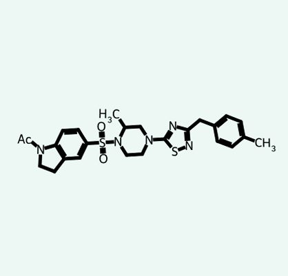 CC(=O)N1CCc2cc(S(=O)(=O)N3CCN(c4nc(Cc5ccc(C)cc5)ns4)CC3C)ccc21